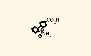 NS(=O)(=O)c1ccccc1-c1ccc(C(=O)O)cc1